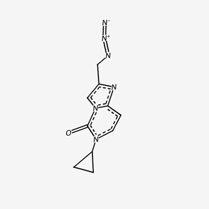 [N-]=[N+]=NCc1cn2c(=O)n(C3CC3)ccc2n1